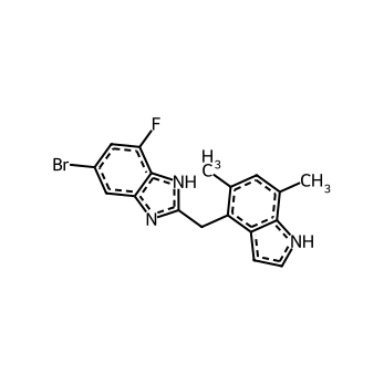 Cc1cc(C)c2[nH]ccc2c1Cc1nc2cc(Br)cc(F)c2[nH]1